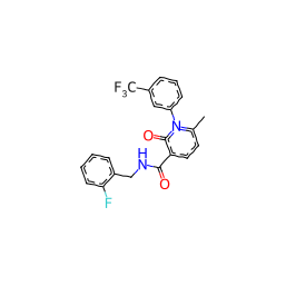 Cc1ccc(C(=O)NCc2ccccc2F)c(=O)n1-c1cccc(C(F)(F)F)c1